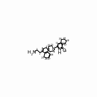 NCCC1=CCC2(CCN(c3cc4c(c(=O)[nH]3)CCCC4)CC2)C2=C1CCC=C2